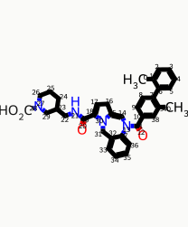 Cc1ccccc1-c1ccc(C(=O)N2C=C3CC=C(C(=O)NCC4CCCN(C(=O)O)C4)N3Cc3ccccc32)cc1C